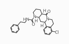 O=C1[C@@H]2CCCN(C(=O)NCCc3ccccc3)[C@@H]2C[C@@H]2c3cccc(Cl)c3CCN12